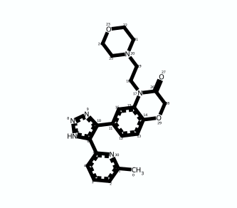 Cc1cccc(-c2[nH]nnc2-c2ccc3c(c2)N(CCN2CCOCC2)C(=O)CO3)n1